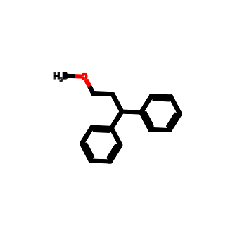 BOCCC(c1ccccc1)c1ccccc1